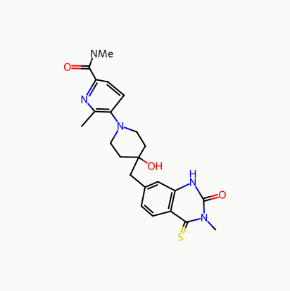 CNC(=O)c1ccc(N2CCC(O)(Cc3ccc4c(=S)n(C)c(=O)[nH]c4c3)CC2)c(C)n1